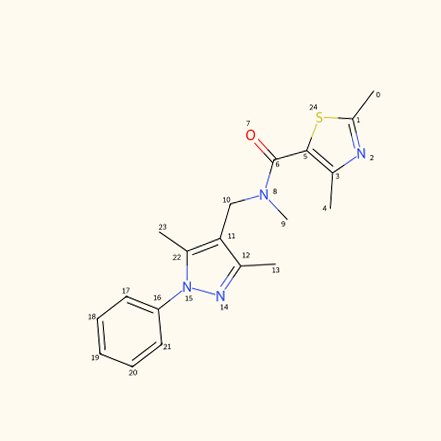 Cc1nc(C)c(C(=O)N(C)Cc2c(C)nn(-c3ccccc3)c2C)s1